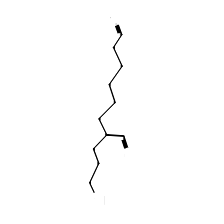 C=CCCCCCC(C=O)CCCC